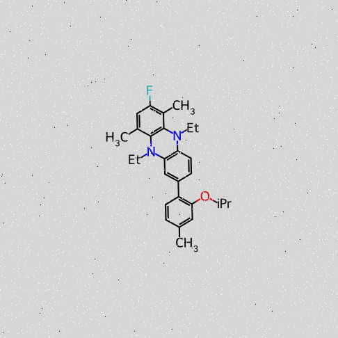 CCN1c2cc(-c3ccc(C)cc3OC(C)C)ccc2N(CC)c2c(C)c(F)cc(C)c21